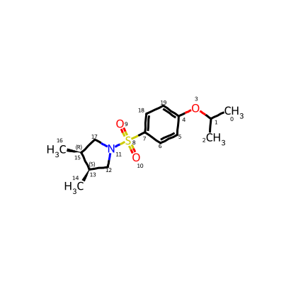 CC(C)Oc1ccc(S(=O)(=O)N2C[C@@H](C)[C@@H](C)C2)cc1